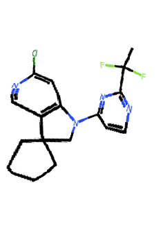 CC(F)(F)c1nccc(N2CC3(CCCC3)c3cnc(Cl)cc32)n1